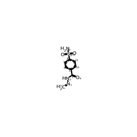 C=NNC(=O)c1ccc(S(N)(=O)=O)cc1